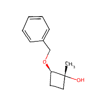 C[C@@]1(O)CC[C@H]1OCc1ccccc1